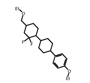 CCOCC1CCC(C2CCC(c3ccc(OCC)cc3)CC2)C(F)(F)C1